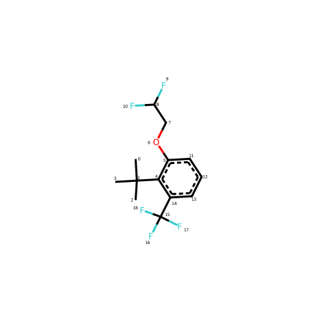 CC(C)(C)c1c(OCC(F)F)cccc1C(F)(F)F